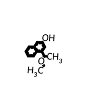 CCOC(C)c1cc(O)cc2ccccc12